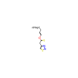 CCCCCCCCC=COC(=S)Cc1csnn1